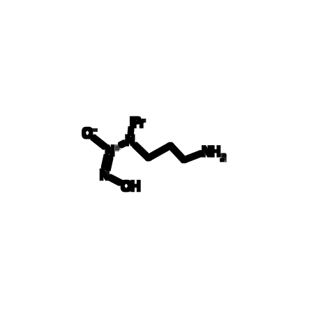 CC(C)N(CCCN)/[N+]([O-])=N\O